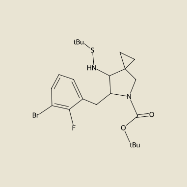 CC(C)(C)OC(=O)N1CC2(CC2)C(NSC(C)(C)C)C1Cc1cccc(Br)c1F